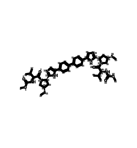 COC(=O)NC(C(=O)N1C[C@@H](SC)C[C@H]1c1ncc(-c2ccc(-c3ccc(-c4cnc([C@@H]5C[C@H](SC)CN5C(=O)[C@@H](NC(=O)OC)C(C)C)[nH]4)cc3)cc2)[nH]1)C(C)C